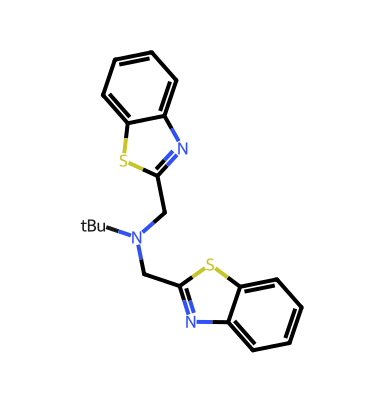 CC(C)(C)N(Cc1nc2ccccc2s1)Cc1nc2ccccc2s1